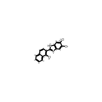 Clc1cc2nc(-c3ccc4ccccc4c3Cl)[nH]c2cc1Cl